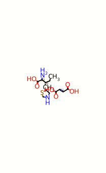 C1CSCN1.CC[C@H](C)[C@H](N)C(=O)O.O=C(O)/C=C/C(=O)O